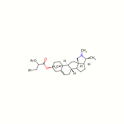 CC(=O)OC(CC(C)C)C(=O)O[C@H]1CC[C@@]2(C)C(=CC[C@H]3[C@@H]4CC[C@@H]5[C@H](C)N(C)C[C@@]54CC[C@@H]32)C1